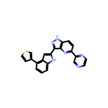 c1cc(-c2ccsc2)c2cc(-c3n[nH]c4ccc(-c5cnccn5)nc34)[nH]c2c1